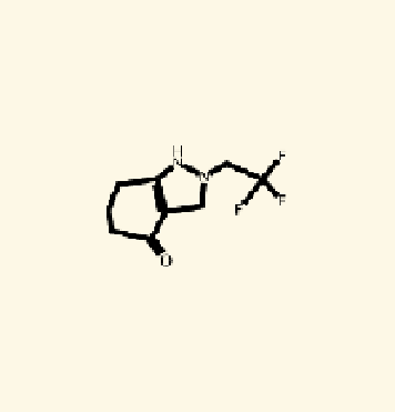 O=C1CCCC2=C1CN(CC(F)(F)F)N2